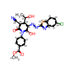 COC(=O)c1ccc(-n2c(O)c(N=Nc3nc4cc(Cl)ccc4s3)c(C(C)O)c(C#N)c2=O)cc1